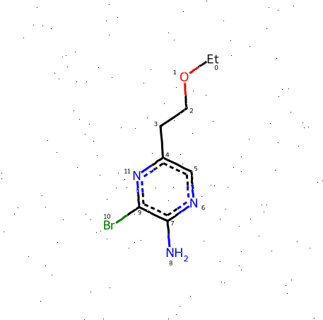 CCOCCc1cnc(N)c(Br)n1